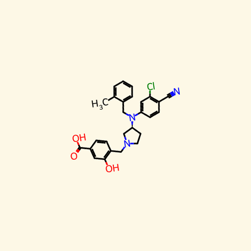 Cc1ccccc1CN(c1ccc(C#N)c(Cl)c1)[C@H]1CCN(Cc2ccc(C(=O)O)cc2O)C1